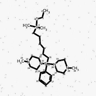 CCO[Si](C)(C)CCCCCC[Si](c1ccccc1)(N1CCN(C)CC1)N1CCN(C)CC1